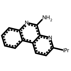 CC(C)c1ccc2c(n1)c(N)nc1ccccc12